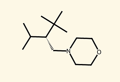 CC(C)[C@@H](CN1CCOCC1)C(C)(C)C